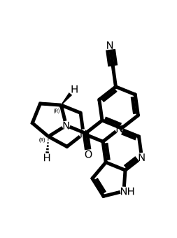 N#Cc1cccc(C(=O)N2[C@@H]3CC[C@@H]2CN(c2ncnc4[nH]ccc24)C3)c1